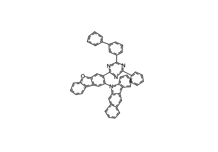 c1ccc(-c2cccc(-c3nc(-c4ccccc4)nc(-c4cc5oc6ccccc6c5cc4-n4c5ccccc5c5cc6ccccc6cc54)n3)c2)cc1